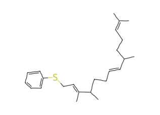 CC(C)=CCCC(C)/C=C/CCC(C)/C(C)=C/CSc1ccccc1